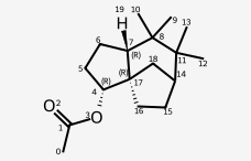 CC(=O)O[C@@H]1CC[C@@H]2C(C)(C)C(C)(C)C3CC[C@@]21C3